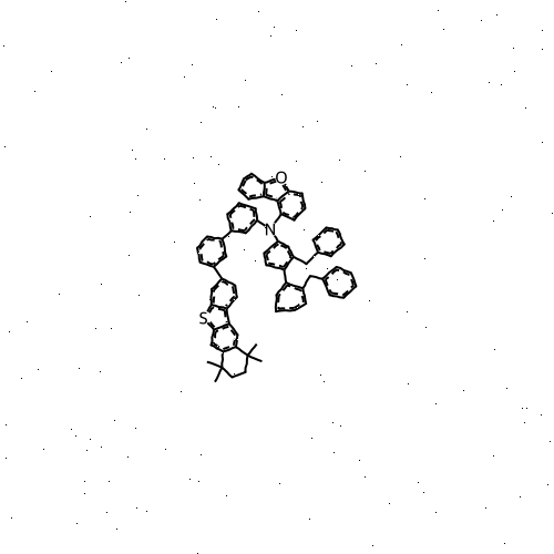 CC1(C)CCC(C)(C)c2cc3c(cc21)sc1cc(-c2cccc(-c4cccc(N(c5ccc(-c6ccccc6Cc6ccccc6)c(Cc6ccccc6)c5)c5cccc6oc7ccccc7c56)c4)c2)ccc13